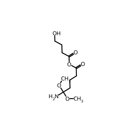 COC(N)(CCCC(=O)OC(=O)CCCO)OC